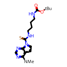 CNc1ncnc2c1ccn2C(=S)NCCCCNC(=O)OC(C)(C)C